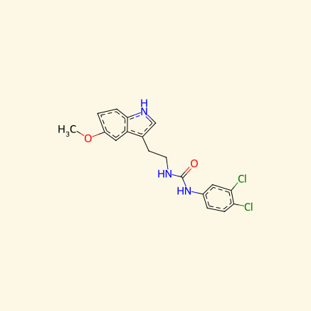 COc1ccc2[nH]cc(CCNC(=O)Nc3ccc(Cl)c(Cl)c3)c2c1